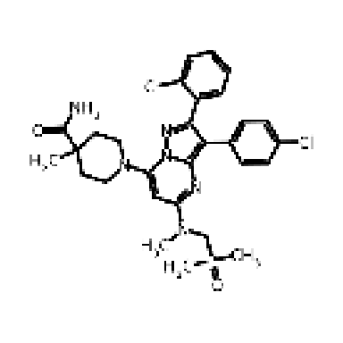 CN(CP(C)(C)=O)c1cc(N2CCC(C)(C(N)=O)CC2)n2nc(-c3ccccc3Cl)c(-c3ccc(Cl)cc3)c2n1